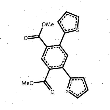 COC(=O)c1cc(C(=O)OC)c(-c2cccs2)cc1-c1cccs1